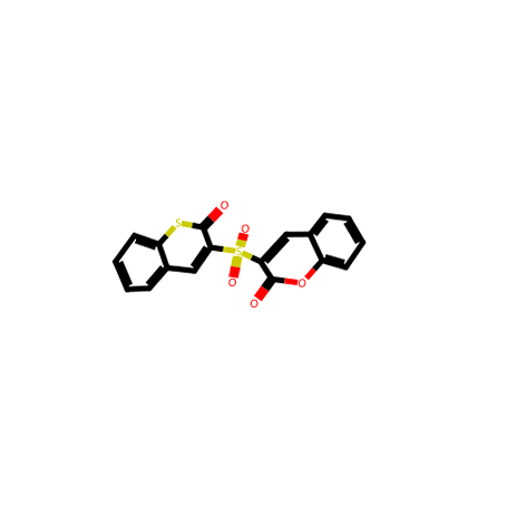 O=c1oc2ccccc2cc1S(=O)(=O)c1cc2ccccc2sc1=O